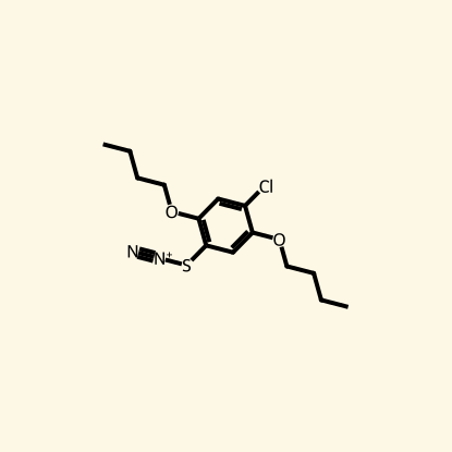 CCCCOc1cc(S[N+]#N)c(OCCCC)cc1Cl